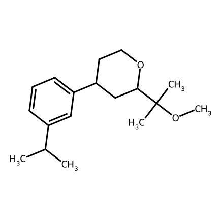 COC(C)(C)C1CC(c2cccc(C(C)C)c2)CCO1